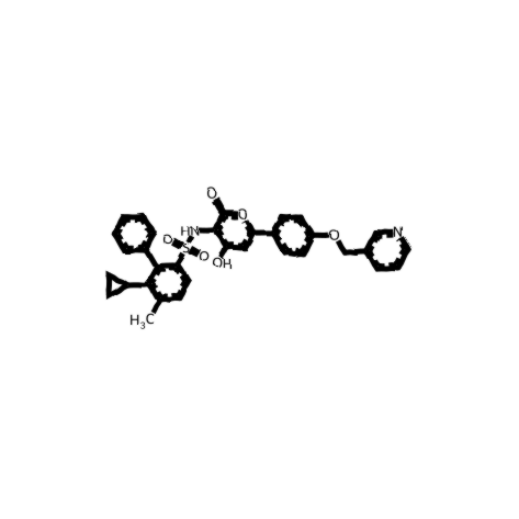 Cc1ccc(S(=O)(=O)Nc2c(O)cc(-c3ccc(OCc4cccnc4)cc3)oc2=O)c(-c2ccccc2)c1C1CC1